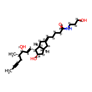 CC#CC[C@H](C)[C@H](O)/C=C/[C@@H]1[C@H]2C/C(=C/CCCC(=O)NCCCO)C[C@H]2C[C@H]1O